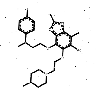 CC(=O)c1c(OCCN2CCC(C)CC2)c(OCCC(C)c2ccc(F)cc2)c2oc(C)nc2c1C